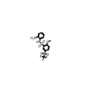 COc1ccc(S(=O)(=O)C(F)(F)F)cc1S(=O)(=O)Nc1ccccc1N